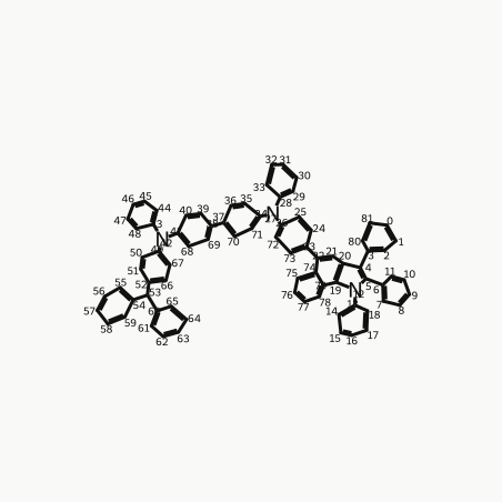 c1ccc(-c2c(-c3ccccc3)n(-c3ccccc3)c3c2cc(-c2ccc(N(c4ccccc4)c4ccc(-c5ccc(N(c6ccccc6)c6ccc(C(c7ccccc7)c7ccccc7)cc6)cc5)cc4)cc2)c2ccccc23)cc1